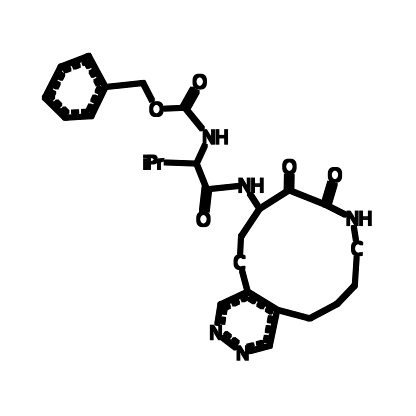 CC(C)C(NC(=O)OCc1ccccc1)C(=O)NC1CCc2cnncc2CCCCNC(=O)C1=O